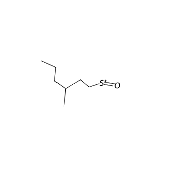 CCCC(C)CC[S+]=O